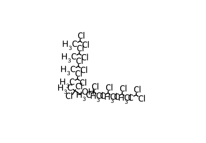 CC(Cl)(Cl)CO.CC(Cl)Cl.CC(Cl)Cl.CC(Cl)Cl.CC(Cl)Cl.CC(Cl)Cl.CC(Cl)Cl.CC(Cl)Cl.CC(Cl)Cl